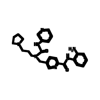 Nc1ccccc1NC(=O)c1ccc(CN(CCCN2CCCC2)C(=O)Nc2cccnc2)cn1